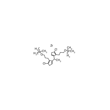 CC(C1=CCC(Cl)=C1CCCO[Si](C)(C)C)C1=CCC(Cl)=C1CCCO[Si](C)(C)C.[Zr]